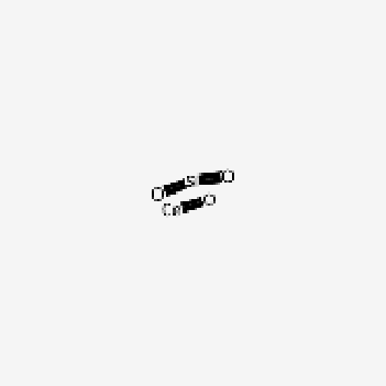 O=[Si]=O.[O]=[Ce]